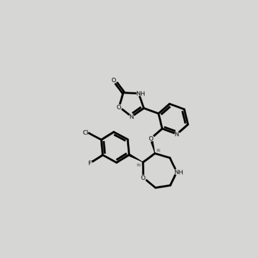 O=c1[nH]c(-c2cccnc2O[C@H]2CNCCO[C@H]2c2ccc(Cl)c(F)c2)no1